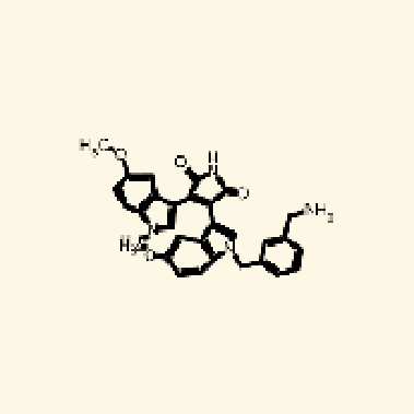 COc1ccc2c(c1)c(C1=C(c3cn(Cc4cccc(CN)c4)c4ccc(OC)cc34)C(=O)NC1=O)cn2C